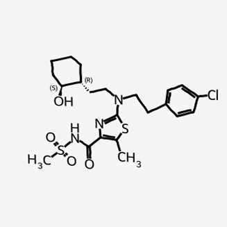 Cc1sc(N(CCc2ccc(Cl)cc2)CC[C@H]2CCCC[C@@H]2O)nc1C(=O)NS(C)(=O)=O